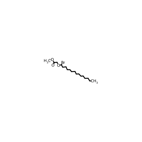 CCCCCCCCCCCCCCC(Br)OCC(=O)OC